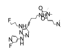 C[C@@H](C(=O)NCCCC#Cc1cnc(Nc2ccnc(F)c2)nc1NCCCF)N(C)C(=O)/C=C/CN(C)C